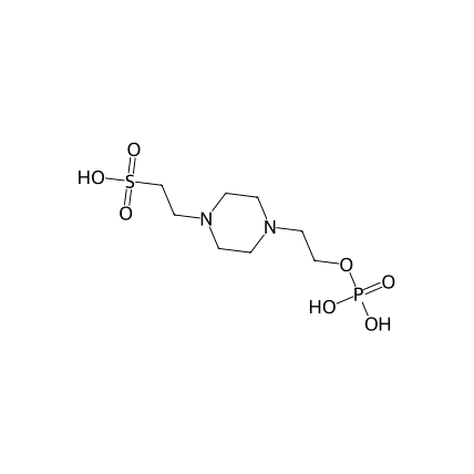 O=P(O)(O)OCCN1CCN(CCS(=O)(=O)O)CC1